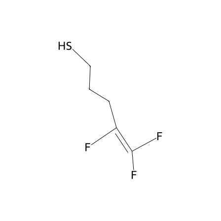 FC(F)=C(F)CCCS